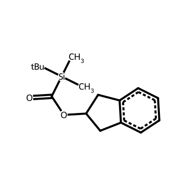 CC(C)(C)[Si](C)(C)C(=O)OC1Cc2ccccc2C1